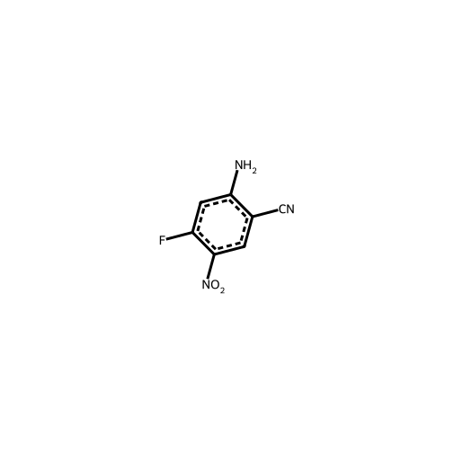 N#Cc1cc([N+](=O)[O-])c(F)cc1N